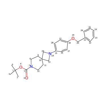 CC(C)(C)OC(=O)N1CCC2(CC1)CN(c1ccc(OCc3ccccc3)cc1)C2